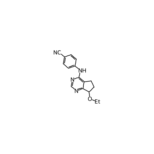 CCOC1CCc2c(Nc3ccc(C#N)cc3)ncnc21